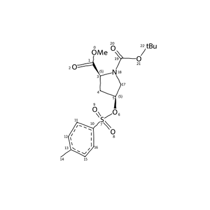 COC(=O)[C@@H]1C[C@H](OS(=O)(=O)c2ccc(C)cc2)CN1C(=O)OC(C)(C)C